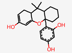 CC1(C)C2CC=C(O)C=C2OC2(c3ccc(O)cc3O)CCCCC21